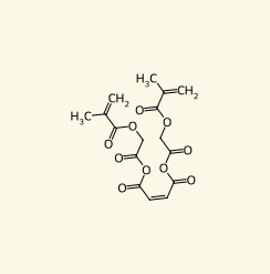 C=C(C)C(=O)OCC(=O)OC(=O)/C=C\C(=O)OC(=O)COC(=O)C(=C)C